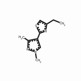 CCc1csc(-c2cn(C)nc2C)n1